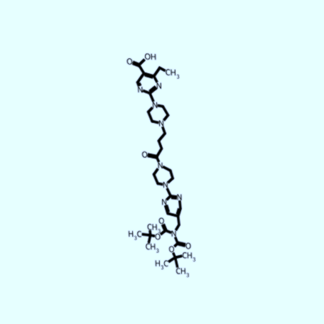 CCc1nc(N2CCN(CCCC(=O)N3CCN(c4ncc(CN(C(=O)OC(C)(C)C)C(=O)OC(C)(C)C)cn4)CC3)CC2)ncc1C(=O)O